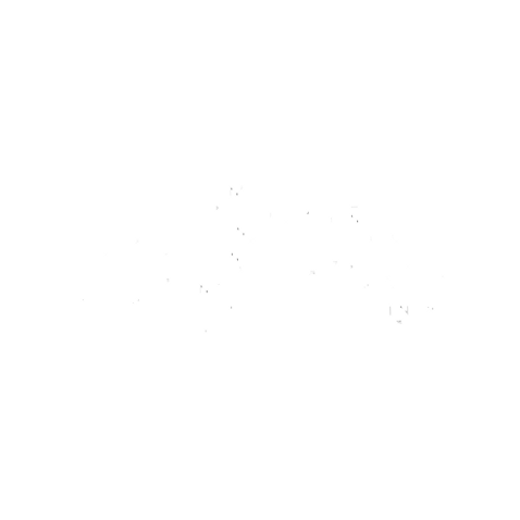 O=C1Nc2cc(-c3cnc4ccc(N5CCCC5c5cccc(F)c5)nn34)ccc2/C1=C/c1ccc[nH]1